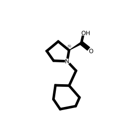 O=C(O)[C@@H]1CCCN1CC1CCCCC1